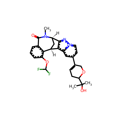 CN1C(=O)c2cccc(OC(F)F)c2[C@H]2C[C@@H]1c1nn3ccc(C4=CCC(C(C)(C)O)OC4)cc3c12